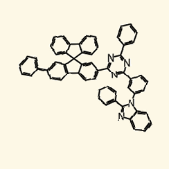 C1=CC(c2nc3ccccc3n2-c2cccc(-c3nc(-c4ccccc4)nc(-c4ccc5c(c4)C4(c6ccccc6-c6ccccc64)c4cc(-c6ccccc6)ccc4-5)n3)c2)=CCC1